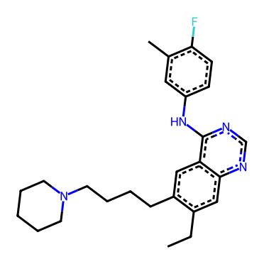 CCc1cc2ncnc(Nc3ccc(F)c(C)c3)c2cc1CCCCN1CCCCC1